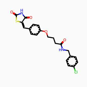 O=C(CCCOc1ccc(C=C2SC(=O)NC2=O)cc1)NCc1ccc(Cl)cc1